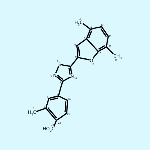 Cc1cc(-c2nsc(-c3cc4c(C)ccc(C)c4o3)n2)ccc1C(=O)O